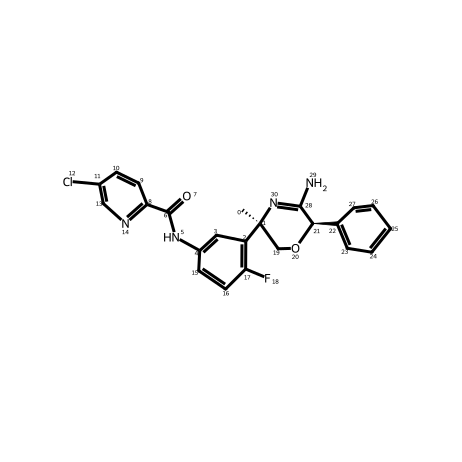 C[C@@]1(c2cc(NC(=O)c3ccc(Cl)cn3)ccc2F)CO[C@H](c2ccccc2)C(N)=N1